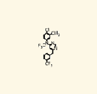 Cc1cc(N(c2cc(Cc3cccc(C(F)(F)F)c3)ncn2)C(F)(F)F)ccc1Cl